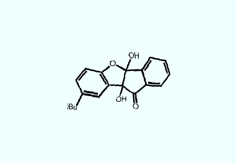 CCC(C)c1ccc2c(c1)C1(O)C(=O)c3ccccc3C1(O)O2